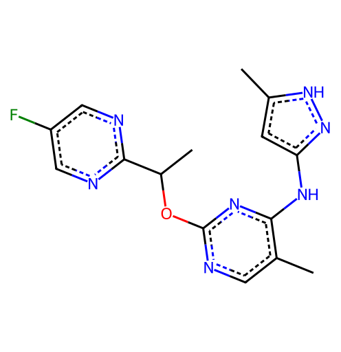 Cc1cc(Nc2nc(OC(C)c3ncc(F)cn3)ncc2C)n[nH]1